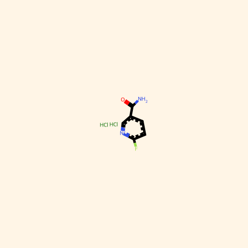 Cl.Cl.NC(=O)c1ccc(F)nc1